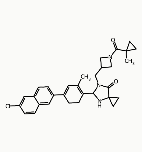 CC1=C(C2NC3(CC3)C(=O)N2CC2CN(C(=O)C3(C)CC3)C2)CCC(c2ccc3cc(Cl)ccc3c2)=C1